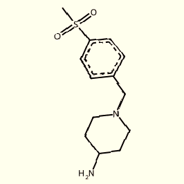 CS(=O)(=O)c1ccc(CN2CCC(N)CC2)cc1